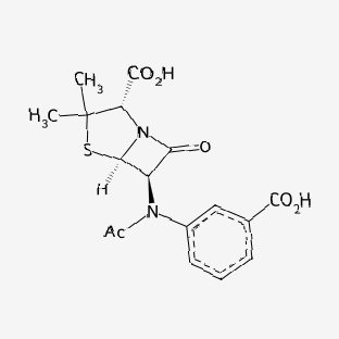 CC(=O)N(c1cccc(C(=O)O)c1)[C@@H]1C(=O)N2[C@@H]1SC(C)(C)[C@@H]2C(=O)O